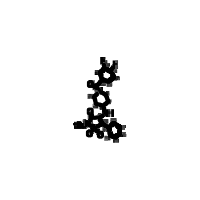 CC(C)(C)N1C(=O)C(NC2CCN(C(=O)c3ccc(F)c(F)c3)CC2)=C(c2ccccc2)S1(=O)=O